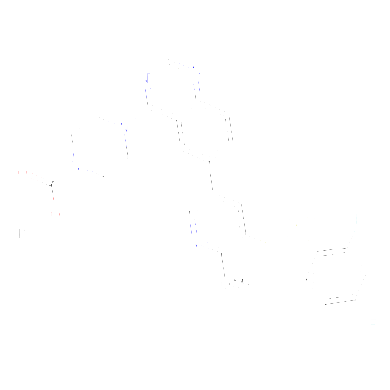 COc1ncc(-c2ccc3ncnc(N4CCN(C(=O)OC(C)(C)C)CC4)c3c2)cc1SS(=O)(=O)c1ccc(F)cc1F